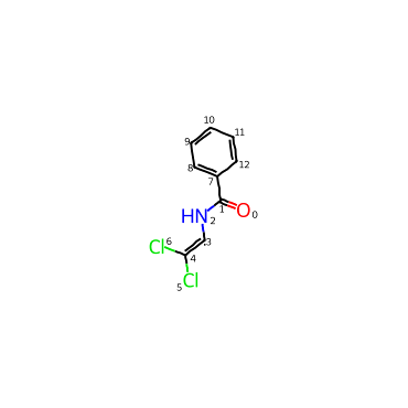 O=C(N[C]=C(Cl)Cl)c1ccccc1